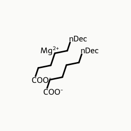 CCCCCCCCCCCCCCC(=O)[O-].CCCCCCCCCCCCCCC(=O)[O-].[Mg+2]